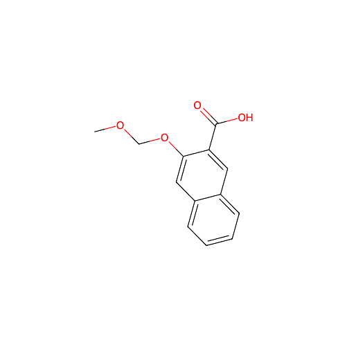 COCOc1cc2ccccc2cc1C(=O)O